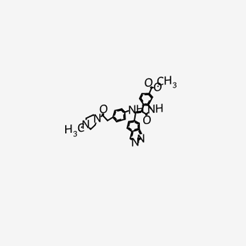 COC(=O)c1ccc2c(c1)NC(=O)C2=C(Nc1ccc(CC(=O)N2CCN(C)CC2)cc1)c1ccc2cnncc2c1